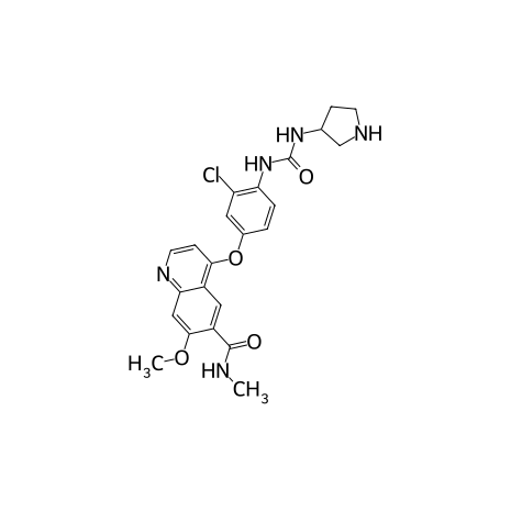 CNC(=O)c1cc2c(Oc3ccc(NC(=O)NC4CCNC4)c(Cl)c3)ccnc2cc1OC